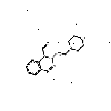 O=CC1c2ccccc2N=NN1CCN1CCNCC1